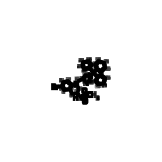 CS(=O)(=O)NC1Cc2cc(Br)ccc2N(Cc2cn(C(c3ccccc3)(c3ccccc3)c3ccccc3)cn2)C1